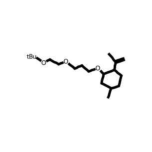 C=C(C)C1CCC(C)CC1OCCCOCCOC(C)(C)C